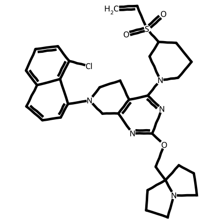 C=CS(=O)(=O)C1CCCN(c2nc(OCC34CCCN3CCC4)nc3c2CCN(c2cccc4cccc(Cl)c24)C3)C1